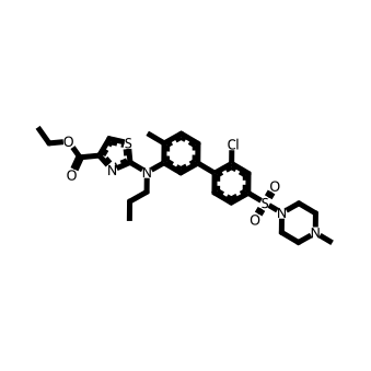 CCCN(c1nc(C(=O)OCC)cs1)c1cc(-c2ccc(S(=O)(=O)N3CCN(C)CC3)cc2Cl)ccc1C